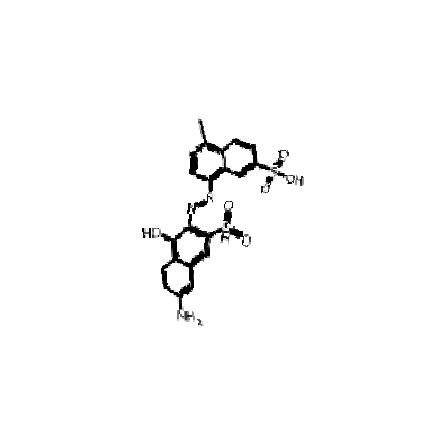 Cc1ccc(N=Nc2c([SH](=O)=O)cc3cc(N)ccc3c2O)c2cc(S(=O)(=O)O)ccc12